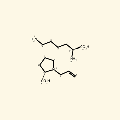 C=CCN1CCC[C@H]1C(=O)O.NCCCC[C@H](N)C(=O)O